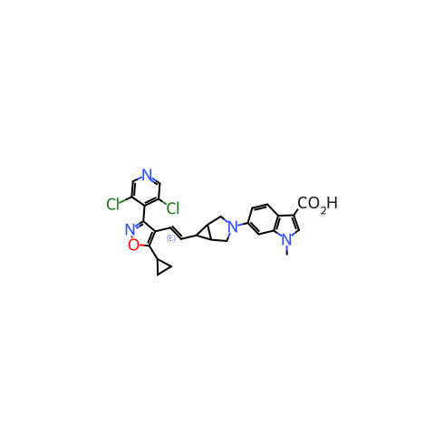 Cn1cc(C(=O)O)c2ccc(N3CC4C(/C=C/c5c(-c6c(Cl)cncc6Cl)noc5C5CC5)C4C3)cc21